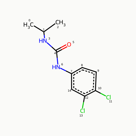 CC(C)NC(=O)Nc1ccc(Cl)c(Cl)c1